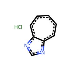 Cl.c1ccc2ncnc-2cc1